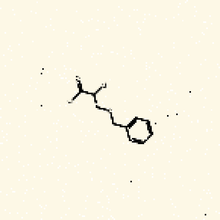 O=C(Cl)C(Cl)COCc1ccccc1